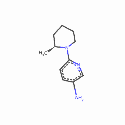 C[C@H]1CCCCN1c1ccc(N)cn1